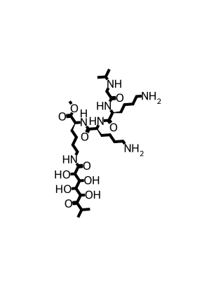 COC(=O)[C@H](CCCCNC(=O)C(O)C(O)C(O)C(O)C(=O)C(C)C)NC(=O)[C@H](CCCCN)NC(=O)[C@H](CCCCN)NC(=O)CNC(C)C